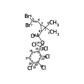 CC1(C)C(C=C(Br)Br)C1C(=O)OC(Cl)(Cl)c1ccc(Cl)c(Cl)c1Cl